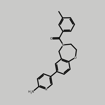 Cc1cccc(C(=O)N2CCOc3ccc(-c4ccc(N)nc4)cc3C2)c1